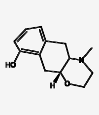 CN1CCO[C@@H]2Cc3c(O)cccc3CC21